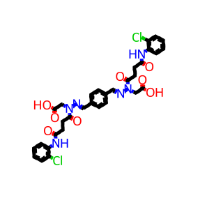 O=C(O)CN(/N=C/c1ccc(/C=N/N(CC(=O)O)C(=O)CCC(=O)Nc2ccccc2Cl)cc1)C(=O)CCC(=O)Nc1ccccc1Cl